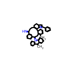 C=C(c1ccccc1)c1ccccc1/N=C1\CC2=C(C)C=CCC2C2=C(CCC(=N)c3cccc1c3)CCc1ccc(-c3ccccc3)nc12